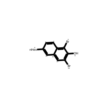 CCCCCCc1ccc2c(Br)c(O)c(Br)cc2c1